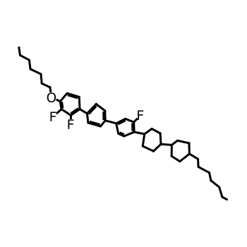 CCCCCCCOc1ccc(-c2ccc(-c3ccc(C4CCC(C5CCC(CCCCCCC)CC5)CC4)c(F)c3)cc2)c(F)c1F